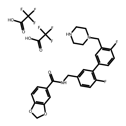 O=C(NCc1ccc(F)c(-c2ccc(F)c(CN3CCNCC3)c2)c1)c1ccc2c(c1)OCO2.O=C(O)C(F)(F)F.O=C(O)C(F)(F)F